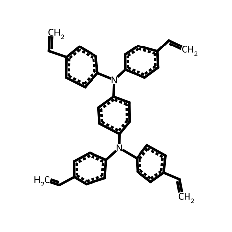 C=Cc1ccc(N(c2ccc(C=C)cc2)c2ccc(N(c3ccc(C=C)cc3)c3ccc(C=C)cc3)cc2)cc1